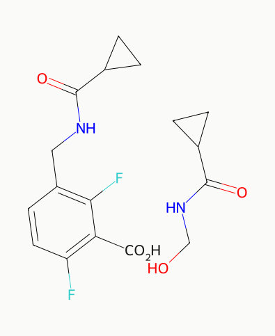 O=C(NCO)C1CC1.O=C(O)c1c(F)ccc(CNC(=O)C2CC2)c1F